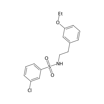 CCOc1cccc(CCNS(=O)(=O)c2cccc(Cl)c2)c1